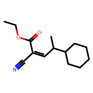 CCOC(=O)C(C#N)=CC(C)C1CCCCC1